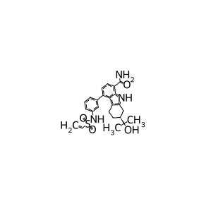 C=CS(=O)(=O)Nc1cccc(-c2ccc(C(N)=O)c3[nH]c4c(c23)CC[C@H](C(C)(C)O)C4)c1